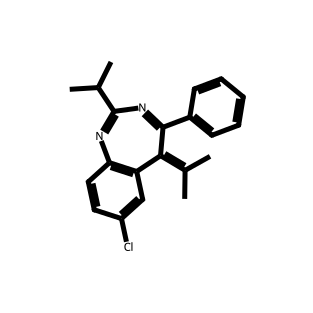 CC(C)=C1C(c2ccccc2)=NC(C(C)C)=Nc2ccc(Cl)cc21